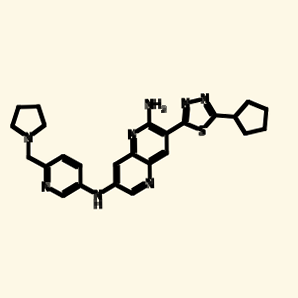 Nc1nc2cc(Nc3ccc(CN4CCCC4)nc3)cnc2cc1-c1nnc(C2CCCC2)s1